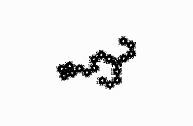 c1ccc(-c2cccc(-c3cccc(-c4ccc(-c5nc(-c6ccc(-c7cccc(-c8cccc(-c9ccccc9)c8)c7)cc6)nc(-c6ccc(-c7cccc(-c8cccc(-c9cccc(-c%10cccc(-c%11cccc(-c%12ccc%13c(c%12)C%12(c%14ccccc%14-c%14ccccc%14%12)c%12ccccc%12-%13)c%11)c%10)c9)c8)c7)cc6)n5)cc4)c3)c2)cc1